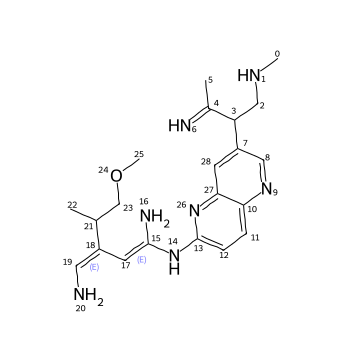 CNCC(C(C)=N)c1cnc2ccc(N/C(N)=C/C(=C\N)C(C)COC)nc2c1